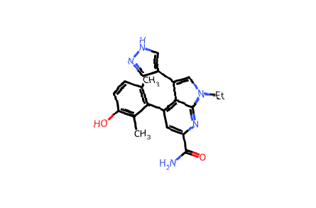 CCn1cc(-c2cn[nH]c2)c2c(-c3c(C)ccc(O)c3C)cc(C(N)=O)nc21